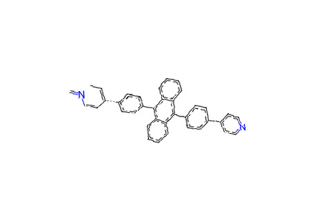 C=N/C=C\C(=C/C)c1ccc(-c2c3ccccc3c(-c3ccc(-c4ccncc4)cc3)c3ccccc23)cc1